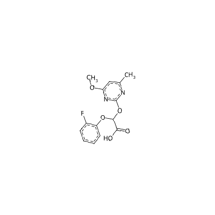 COc1cc(C)nc(OC(Oc2ccccc2F)C(=O)O)n1